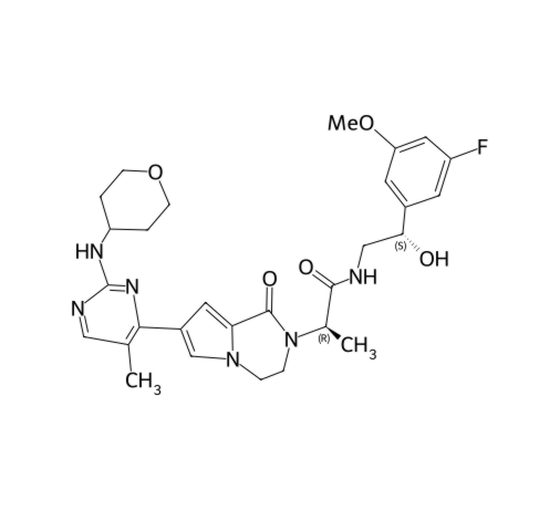 COc1cc(F)cc([C@H](O)CNC(=O)[C@@H](C)N2CCn3cc(-c4nc(NC5CCOCC5)ncc4C)cc3C2=O)c1